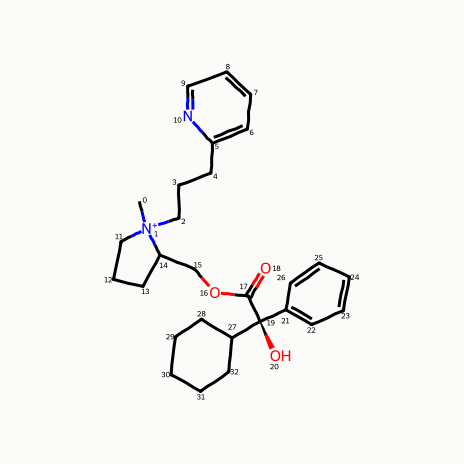 C[N+]1(CCCc2ccccn2)CCCC1COC(=O)[C@](O)(c1ccccc1)C1CCCCC1